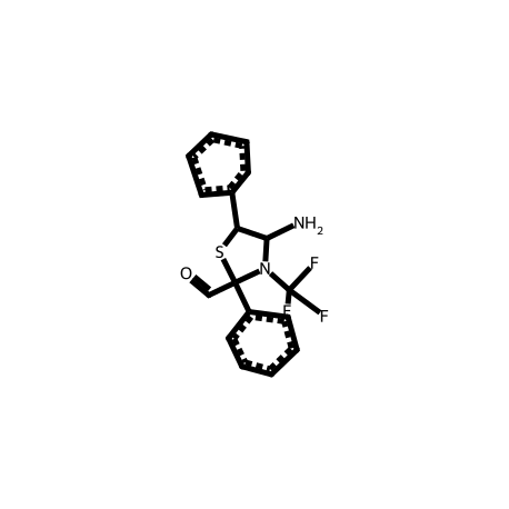 NC1C(c2ccccc2)SC(C=O)(c2ccccc2)N1C(F)(F)F